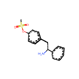 CS(=O)(=O)Oc1ccc(CC(N)c2ccccc2)cc1